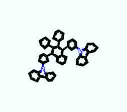 c1ccc(-c2c(-c3ccccc3)c(-c3cccc(-n4c5ccccc5c5ccccc54)c3)c3ccccc3c2-c2cccc(-n3c4ccccc4c4ccccc43)c2)cc1